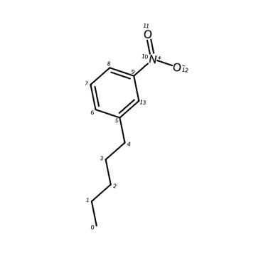 CCCCCc1cccc([N+](=O)[O-])c1